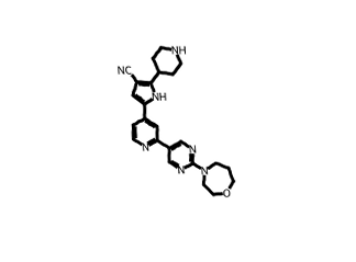 N#Cc1cc(-c2ccnc(-c3cnc(N4CCCOCC4)nc3)c2)[nH]c1C1CCNCC1